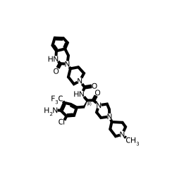 CN1CCC(N2CCN(C(=O)[C@@H](Cc3cc(Cl)c(N)c(C(F)(F)F)c3)NC(=O)N3CCC(N4Cc5ccccc5NC4=O)CC3)CC2)CC1